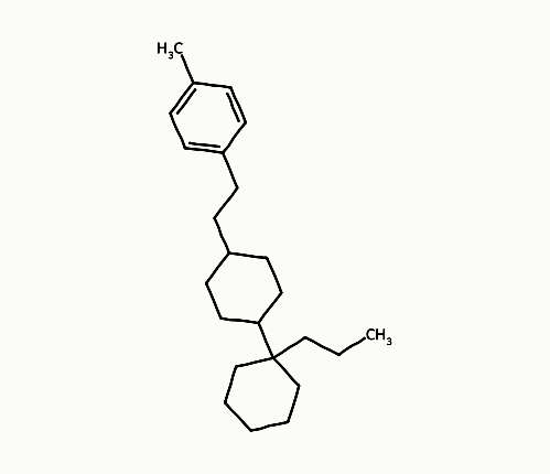 CCCC1(C2CCC(CCc3ccc(C)cc3)CC2)CCCCC1